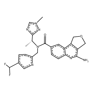 C[C@H](c1ncn(C)n1)N(Cc1ccc(C(F)F)cn1)C(=O)c1ccc2nc(N)c3c(c2c1)COC3